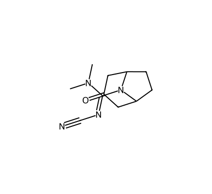 CN(C)C(=NC#N)N1C2CCC1CC(=O)C2